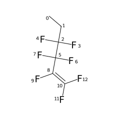 CCC(F)(F)C(F)(F)C(F)=C(F)F